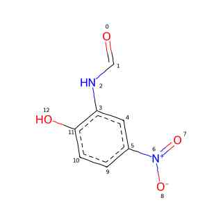 O=CNc1cc([N+](=O)[O-])ccc1O